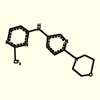 FC(F)(F)c1nccc(Nc2ccc(N3CCOCC3)nc2)n1